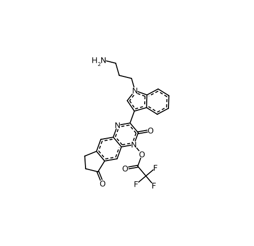 NCCCn1cc(-c2nc3cc4c(cc3n(OC(=O)C(F)(F)F)c2=O)C(=O)CC4)c2ccccc21